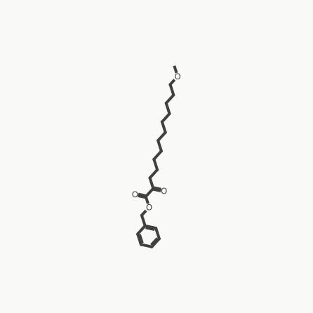 COCCCCCCCCCCCC(=O)C(=O)OCc1ccccc1